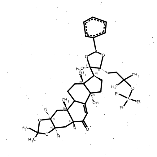 CC[Si](CC)(CC)OC(C)(C)CC[C@H]1OB(c2ccccc2)O[C@]1(C)[C@H]1CC[C@@]2(O)C3=CC(=O)[C@@H]4C[C@H]5OC(C)(C)O[C@H]5C[C@]4(C)C3CC[C@]12C